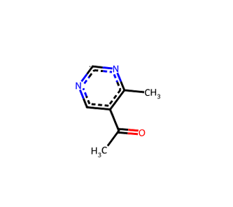 CC(=O)c1cn[c]nc1C